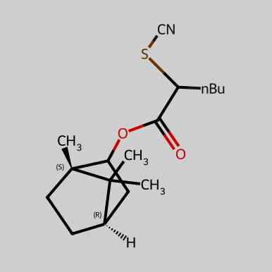 CCCCC(SC#N)C(=O)OC1C[C@H]2CC[C@@]1(C)C2(C)C